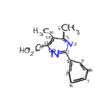 Cc1nc(-c2ccccc2)nc(C(=O)O)c1C